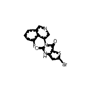 O=c1[nH]c2cc(Br)sc2c(=O)n1-c1cncc2cccc(F)c12